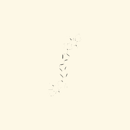 CC(C)(C)OC(=O)N1CCOCC1C(=O)OCC(=O)c1ccc(-c2ccc3cc(C(=O)COC(=O)C4COCCN4C(=O)OC(C)(C)C)ccc3c2)cc1